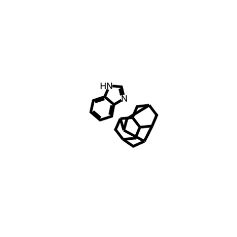 C1C2CC3C4CC5CC(C14)C(C2)C3C5.c1ccc2[nH]cnc2c1